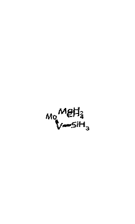 C.[MgH2].[SiH3][V][Mo]